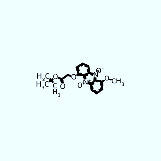 COc1cccc2c1[n+]([O-])c1cccc(OCC(=O)OC(C)(C)C)c1[n+]2[O-]